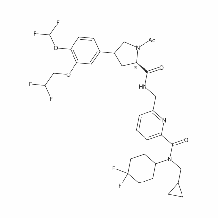 CC(=O)N1CC(c2ccc(OC(F)F)c(OCC(F)F)c2)C[C@@H]1C(=O)NCc1cccc(C(=O)N(CC2CC2)C2CCC(F)(F)CC2)n1